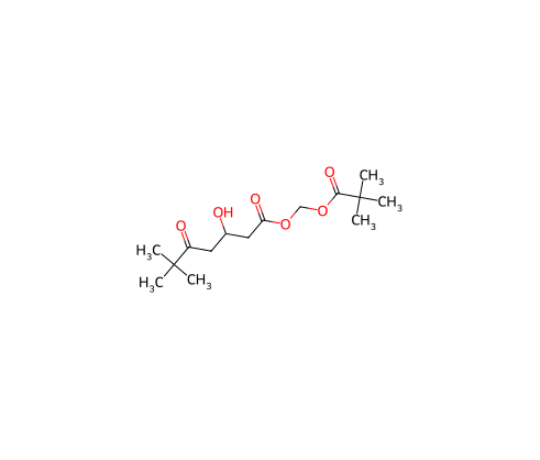 CC(C)(C)C(=O)CC(O)CC(=O)OCOC(=O)C(C)(C)C